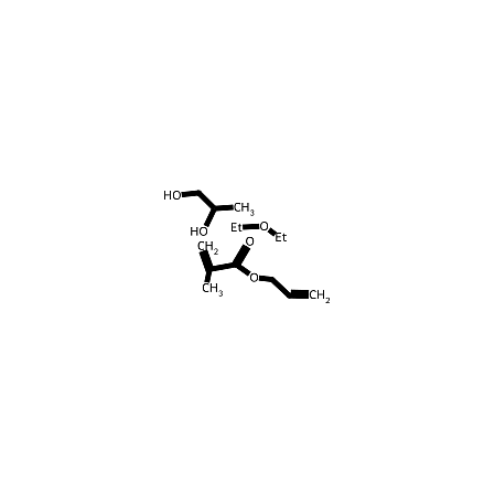 C=CCOC(=O)C(=C)C.CC(O)CO.CCOCC